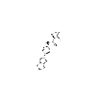 O=C(Nc1ccc(-c2cc3ccccc3s2)cc1)c1nsc(Cl)c1Cl